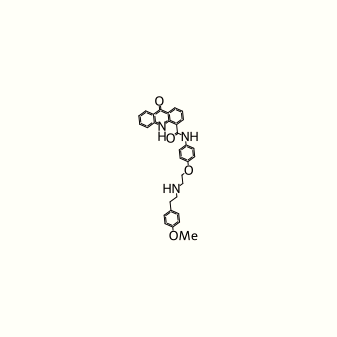 COc1ccc(CCNCCOc2ccc(NC(=O)c3cccc4c(=O)c5ccccc5[nH]c34)cc2)cc1